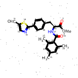 COC(=O)[C@H](Cc1ccc(-c2ncc(C=O)s2)cc1)NC(=O)c1c(C)cc(C)cc1C